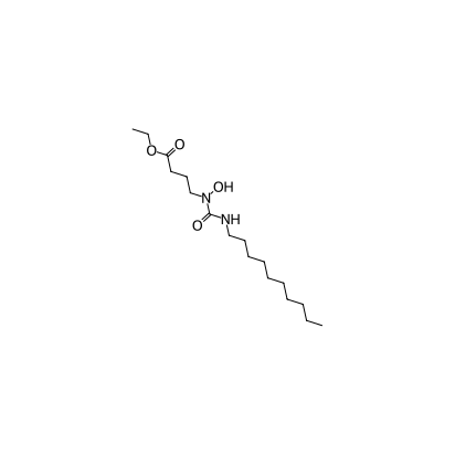 CCCCCCCCCCNC(=O)N(O)CCCC(=O)OCC